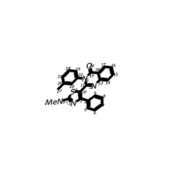 CNc1nc(-c2ccccc2)c(-c2nc3ccccc3c(=O)n2-c2cccc(C)c2)s1